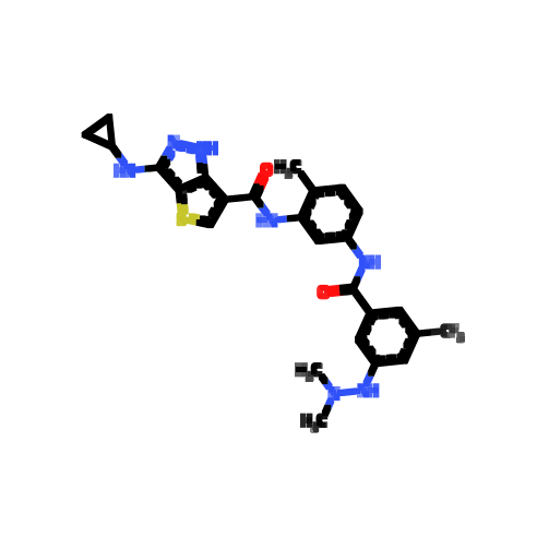 Cc1ccc(NC(=O)c2cc(NN(C)C)cc(C(F)(F)F)c2)cc1NC(=O)c1csc2c(NC3CC3)n[nH]c12